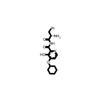 CC(C)C[C@H](N)C(=O)NC(=O)c1nccc(OC2CCCCC2)c1O